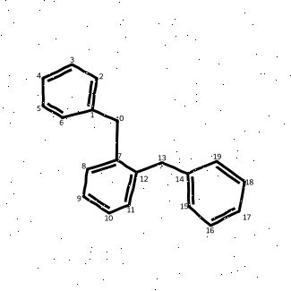 [CH](c1ccccc1)c1ccccc1[CH]c1ccccc1